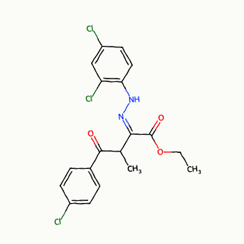 CCOC(=O)/C(=N\Nc1ccc(Cl)cc1Cl)C(C)C(=O)c1ccc(Cl)cc1